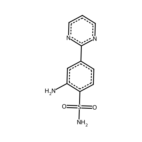 Nc1cc(-c2ncccn2)ccc1S(N)(=O)=O